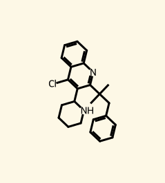 CC(C)(Cc1ccccc1)c1nc2ccccc2c(Cl)c1C1CCCCN1